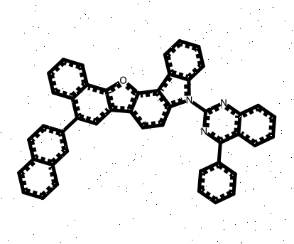 c1ccc(-c2nc(-n3c4ccccc4c4c5oc6c7ccccc7c(-c7ccc8ccccc8c7)cc6c5ccc43)nc3ccccc23)cc1